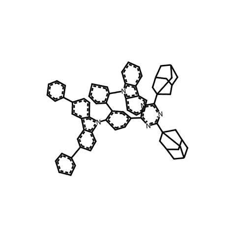 c1ccc(-c2ccc3c(c2)c2cc(-c4ccccc4)ccc2n3-c2ccc(-c3nc(C45CC6CC(CC(C6)C4)C5)nc(C45CC6CC(CC(C6)C4)C5)n3)cc2-c2ccccc2-n2c3ccccc3c3ccccc32)cc1